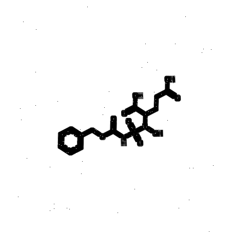 O=C(O)CCC(C(=O)O)N(O)S(=O)(=O)NC(=O)OCc1ccccc1